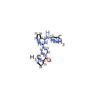 Cc1cc(Nc2nc(N3CCN(C(=O)c4cccn4C)CC3)nn3cccc23)n[nH]1